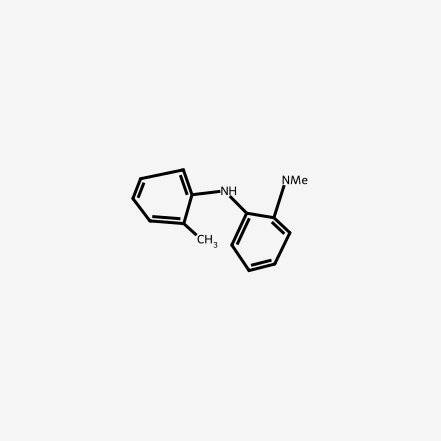 CNc1ccccc1Nc1ccccc1C